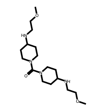 COCCNC1CCN(C(=O)N2CCC(NCCOC)CC2)CC1